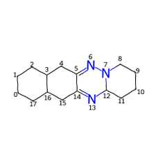 C1CCC2CC3=NN4CCCCC4N=C3CC2C1